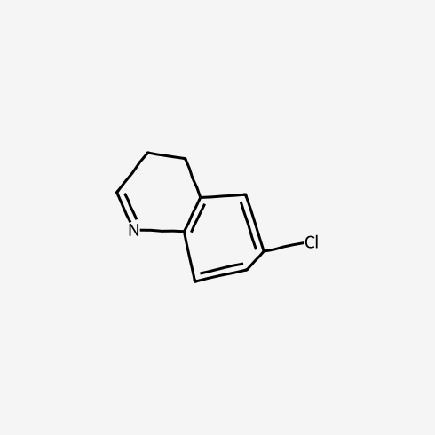 Clc1ccc2c(c1)CCC=N2